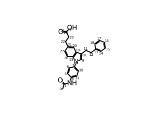 CC(=O)Nc1ccc(-n2cc(CCc3ccccc3)c3cc(CCC(=O)O)ccc32)cc1